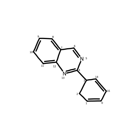 C1=CCC(c2ncc3ccccc3n2)C=C1